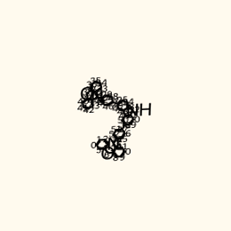 c1ccc2c(c1)Oc1ccccc1N2c1ccc(-c2ccc3[nH]c4ccc(-c5ccc(N6c7ccccc7Oc7ccccc76)cc5)cc4c3c2)cc1